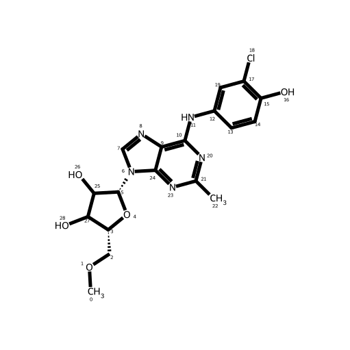 COC[C@H]1O[C@@H](n2cnc3c(Nc4ccc(O)c(Cl)c4)nc(C)nc32)C(O)C1O